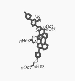 CCCCCCCCC(CCCCCC)COc1ccc(-c2cc3c4c5c2cccc5c2ccc5c6c(cc(c4c62)n3CC(CCCCCC)CCCCCC)-c2sc(-c3ccc(-c4ccc(C)cc4)c4nsnc34)cc2C5(CCCCCCCC)CCCCCCCC)cc1